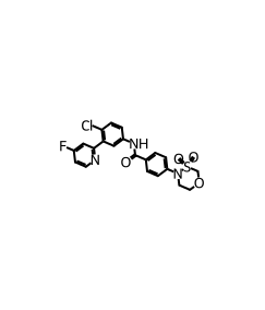 O=C(Nc1ccc(Cl)c(-c2cc(F)ccn2)c1)c1ccc(N2CCOCS2(=O)=O)cc1